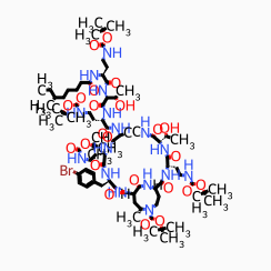 CCC(C)CCCCC(=O)N[C@@H](CCNC(=O)OC(C)(C)C)C(=O)N[C@H](C(=O)N[C@@H](CCNC(=O)OC(C)(C)C)C(=O)N[C@H]1CCNC(=O)[C@H](C(C)O)NC(=O)[C@H](CCNC(=O)OC(C)(C)C)NC(=O)[C@@H]2CCN(C(=O)OC(C)(C)C)C(C)C[C@H](NC(=O)[C@@H](Cc3ccc(Br)cc3)NC(=O)[C@H](CCNC(=O)OC(C)(C)C)NC1=O)C(=O)N2)C(C)O